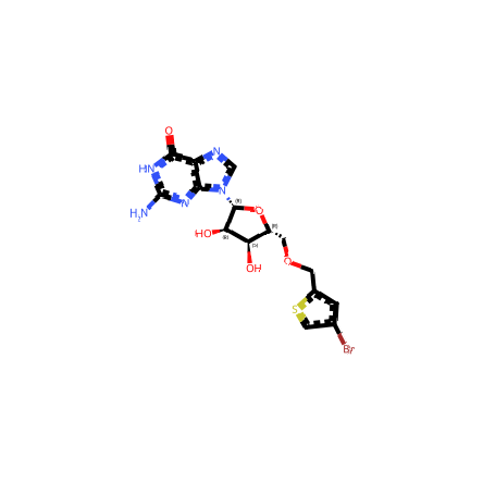 Nc1nc2c(ncn2[C@@H]2O[C@H](COCc3cc(Br)cs3)[C@@H](O)[C@H]2O)c(=O)[nH]1